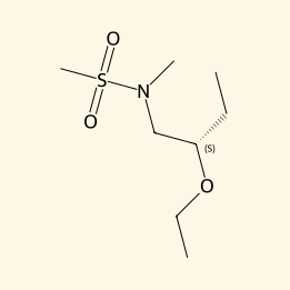 CCO[C@@H](CC)CN(C)S(C)(=O)=O